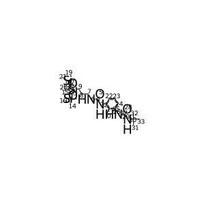 Cc1c(NC(=O)NCCC[Si](C)(O[Si](C)(C)C)O[Si](C)(C)C)cccc1NC(=O)NC(C)(C)C